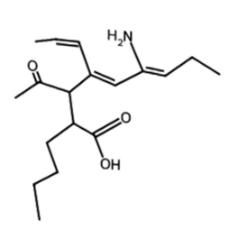 C\C=C/C(=C\C(N)=C\CC)C(C(C)=O)C(CCCC)C(=O)O